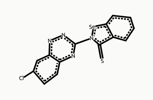 S=c1c2ccccc2[se]n1-c1nnc2cc(Cl)ccc2n1